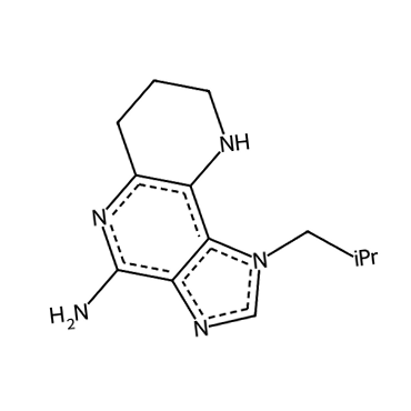 CC(C)Cn1cnc2c(N)nc3c(c21)NCCC3